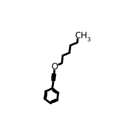 CCCCCCOC#Cc1ccccc1